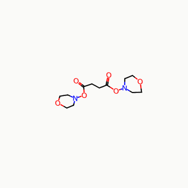 O=C(CCC(=O)ON1CCOCC1)ON1CCOCC1